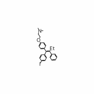 CCC(=C(c1ccc(I)cc1)c1ccc(OCCN(C)C)cc1)c1ccccc1